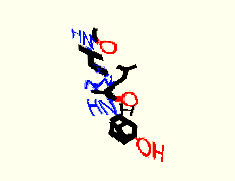 CC(=O)NC(C)(C)/C=C/n1ncc(C(=O)N[C@H]2C3CC4CC2C[C@](O)(C4)C3)c1CC(C)C